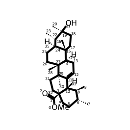 COC(=O)[C@]12CC[C@@H](C)[C@H](C)[C@H]1C1=CC[C@@H]3[C@@]4(C)CC[C@](C)(O)[C@@H](C)[C@@H]4CC[C@@]3(C)[C@]1(C)CC2